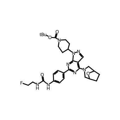 CC(C)(C)OC(=O)N1CCC(n2ncc3c(N4CC5CCC(C4)O5)nc(-c4ccc(NC(=O)NCCF)cc4)nc32)CC1